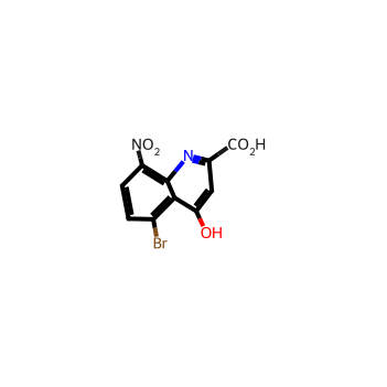 O=C(O)c1cc(O)c2c(Br)ccc([N+](=O)[O-])c2n1